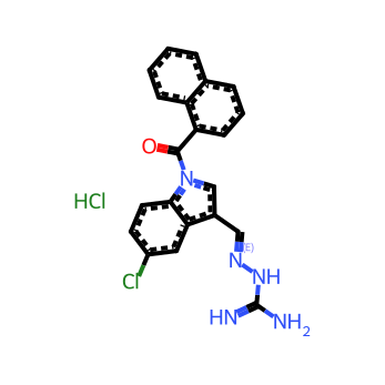 Cl.N=C(N)N/N=C/c1cn(C(=O)c2cccc3ccccc23)c2ccc(Cl)cc12